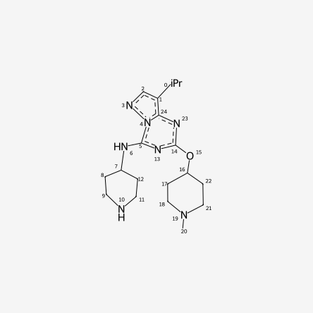 CC(C)c1cnn2c(NC3CCNCC3)nc(OC3CCN(C)CC3)nc12